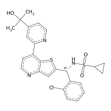 CC(C)(O)c1ccnc(-c2ccnc3cc([C@H](NS(=O)(=O)C4CC4)c4ccccc4Cl)sc23)c1